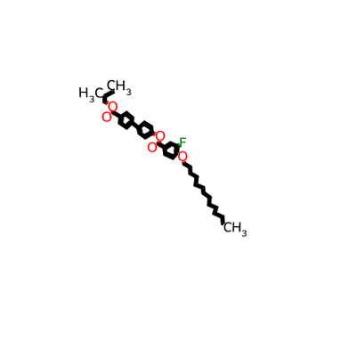 CCCCCCCCCCCCCCOc1ccc(C(=O)Oc2ccc(-c3ccc(C(=O)OCC(C)CC)cc3)cc2)cc1F